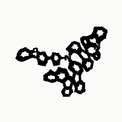 c1ccc2c(c1)-c1ccc(N(c3ccc(-c4ccc5c(c4)oc4ccccc45)cc3)c3cccc4c3-c3ccccc3C43c4ccccc4-n4c5ccccc5c5cccc3c54)cc1C21c2ccccc2-c2c1ccc1ccccc21